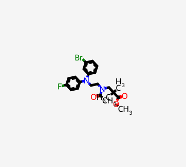 COC(=O)C(C)(C)CN(CCN(c1ccc(F)cc1)c1cccc(Br)c1)C(C)=O